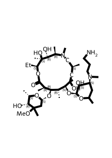 CC[C@@H]1OC(=O)[C@H](C)[C@H](O[C@@H]2CC(C)(OC)[C@H](O)[C@H](C)O2)[C@@H](C)[C@H](O[C@@H]2OC(C)C[C@H](N(C)CCCN)[C@@H]2O)C(C)(O)C[C@H](C)CN(C)[C@H](C)[C@@H](O)[C@]1(C)O